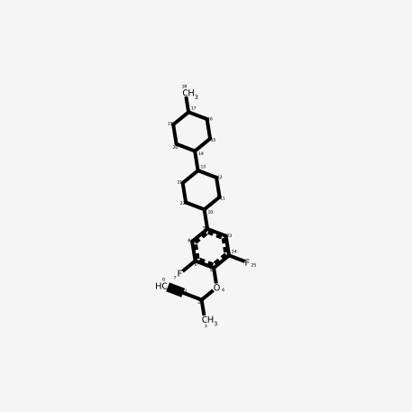 C#CC(C)Oc1c(F)cc(C2CCC(C3CCC(C)CC3)CC2)cc1F